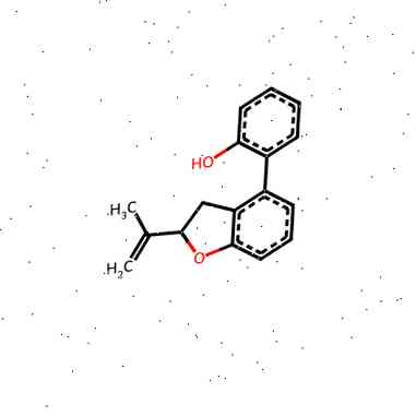 C=C(C)C1Cc2c(cccc2-c2ccccc2O)O1